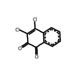 O=C1C(=O)c2ccccc2C(Cl)=C1Cl